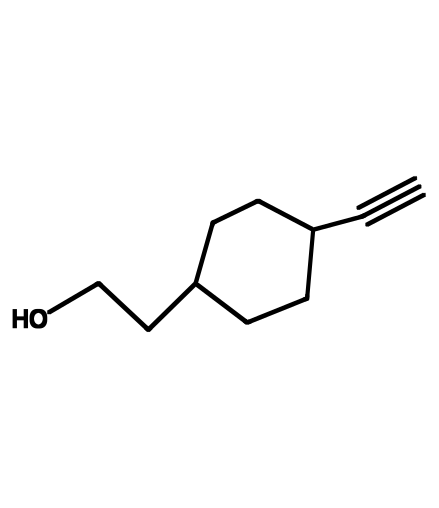 C#CC1CCC(CCO)CC1